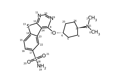 CN(C)[C@H]1CC[C@H](Oc2ncnc3sc4ccc(S(N)(=O)=O)cc4c23)CC1